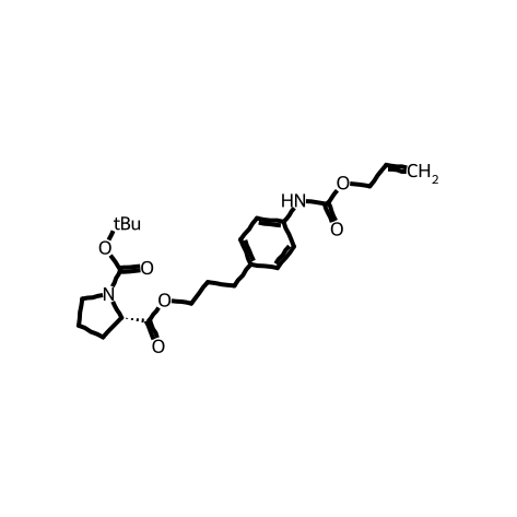 C=CCOC(=O)Nc1ccc(CCCOC(=O)[C@@H]2CCCN2C(=O)OC(C)(C)C)cc1